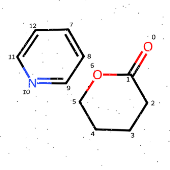 O=C1CCCCO1.c1ccncc1